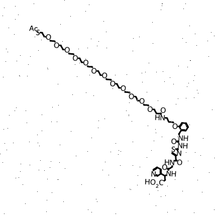 CC(=O)SCCOCCOCCOCCOCCOCCOCCOCCOCCOCCOCCOCCOCCC(=O)NCCCOc1ccccc1CNC(=O)Nc1nc(C(=O)NCC(=O)NC(CC(=O)O)c2cccnc2)cs1